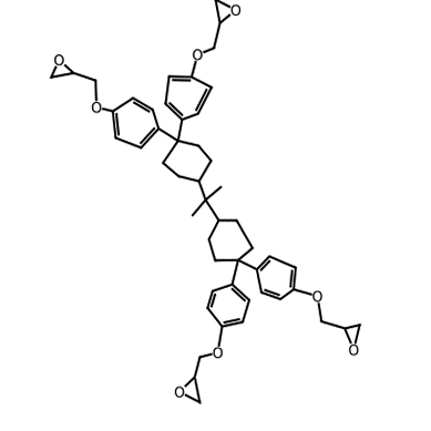 CC(C)(C1CCC(c2ccc(OCC3CO3)cc2)(c2ccc(OCC3CO3)cc2)CC1)C1CCC(c2ccc(OCC3CO3)cc2)(c2ccc(OCC3CO3)cc2)CC1